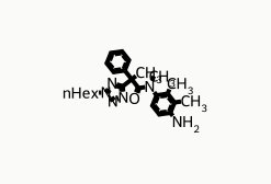 CCCCCCn1nnc(C(C)(C(=O)N(C)c2ccc(N)c(C)c2C)c2ccccc2)n1